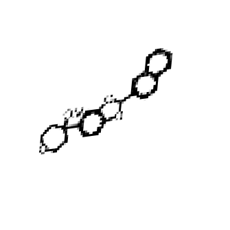 COC1(c2ccc3c(c2)OC(c2ccc4ccccc4c2)O3)CCOCC1